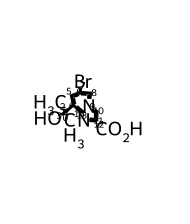 CC(C)(O)c1cc(Br)cn2cc(C(=O)O)nc12